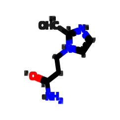 NC(=O)CCn1ccnc1C=O